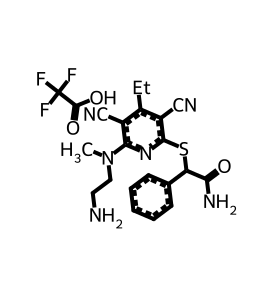 CCc1c(C#N)c(SC(C(N)=O)c2ccccc2)nc(N(C)CCN)c1C#N.O=C(O)C(F)(F)F